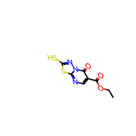 CCOC(=O)c1cnc2sc(S)nn2c1=O